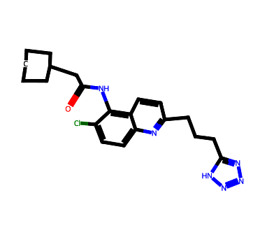 O=C(CC1CCCCC1)Nc1c(Cl)ccc2nc(CCCc3nnn[nH]3)ccc12